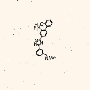 CNCc1cccc(-c2noc(-c3ccc(-c4ccccc4C)c(C(F)(F)F)c3)n2)c1